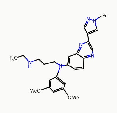 COc1cc(OC)cc(N(CCCNCC(F)(F)F)c2ccc3ncc(-c4cnn(C(C)C)c4)nc3c2)c1